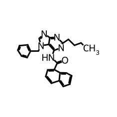 CCCCc1nc(NC(=O)c2cccc3ccccc23)c2c(ncn2Cc2ccccc2)n1